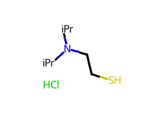 CC(C)N(CCS)C(C)C.Cl